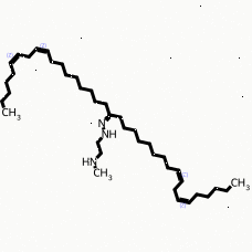 CCCCC/C=C\C/C=C\CCCCCCCCC(CCCCCCCC/C=C\C/C=C\CCCCC)=NNCCNC